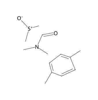 CN(C)C=O.C[S+](C)[O-].Cc1ccc(C)cc1